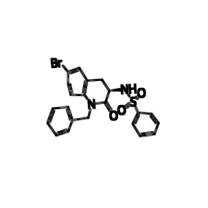 O=C1[C@H](NS(=O)(=O)c2ccccc2)Cc2cc(Br)ccc2N1Cc1ccccc1